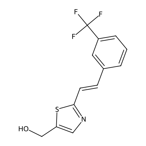 OCc1cnc(C=Cc2cccc(C(F)(F)F)c2)s1